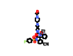 CCOc1ccccc1C1(NC(=O)N2CC3(C2)CN(C2CCN(C4COC4)CC2)C3)C(=O)N(S(=O)(=O)c2ccc(F)cc2)c2ccc(C#N)cc21